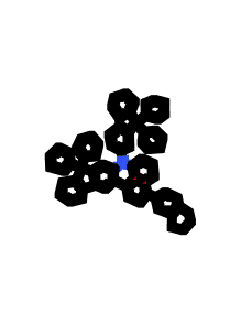 c1ccc(N(c2ccc3c(c2)C(c2ccccc2)(c2ccccc2)c2ccccc2-3)c2cc3c(cc2-c2ccc(-c4ccc5c(c4)CCCC5)cc2)-c2ccccc2C3(c2ccccc2)c2ccccc2)cc1